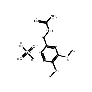 COc1ccc(CNC(=N)N)cc1OC.CS(=O)(=O)O